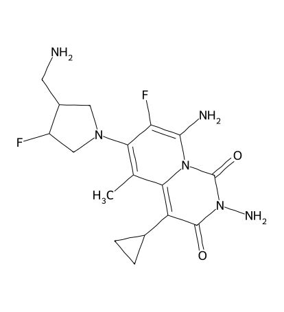 Cc1c(N2CC(F)C(CN)C2)c(F)c(N)n2c(=O)n(N)c(=O)c(C3CC3)c12